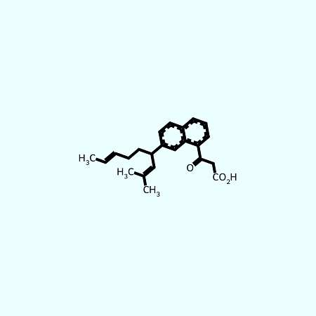 CC=CCCC(C=C(C)C)c1ccc2cccc(C(=O)CC(=O)O)c2c1